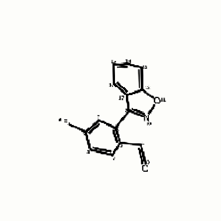 O=Cc1ccc(F)cc1-c1noc2ccccc12